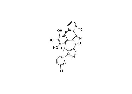 Oc1nc(-c2c(-c3c(F)cccc3Cl)noc2-c2cnn(-c3cccc(Cl)c3)c2C(F)(F)F)nc(O)c1O